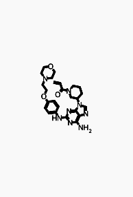 C=CC(=O)N1CCCC(n2cnc3c(N)nc(Nc4ccc(OCCN5CCOCC5)cc4)nc32)C1